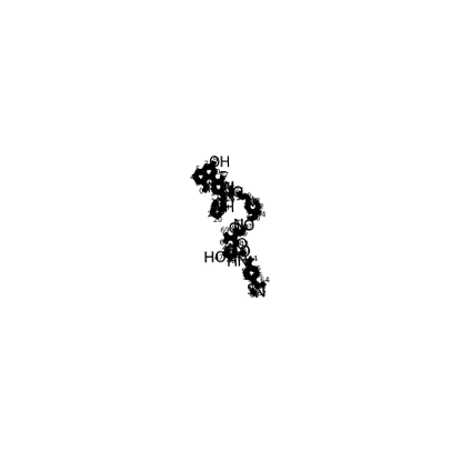 CCc1cccc2cc(O)cc(-c3ncc4c(N5CC6CCC(C5)N6)nc(OCCN5CCC(C)(CCOc6cc(C(C(=O)N7C[C@H](O)C[C@H]7C(=O)NC(C)c7ccc(-c8scnc8C)cc7)C(C)C)on6)CC5)nc4c3F)c12